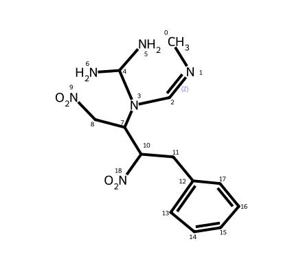 C/N=C\N(C(N)N)C(C[N+](=O)[O-])C(Cc1ccccc1)[N+](=O)[O-]